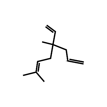 C=[C]CC(C)(C=C)CC=C(C)C